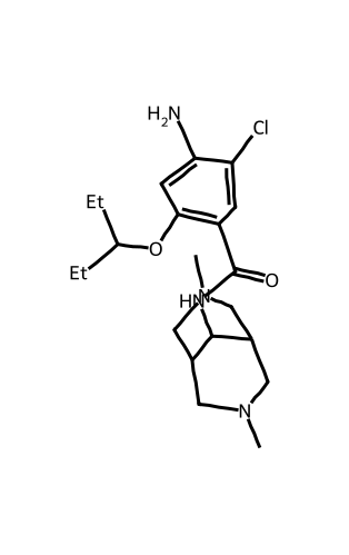 CCC(CC)Oc1cc(N)c(Cl)cc1C(=O)NC1C2CN(C)CC1CN(C)C2